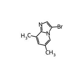 Cc1cc(C)c2ncc(Br)n2c1